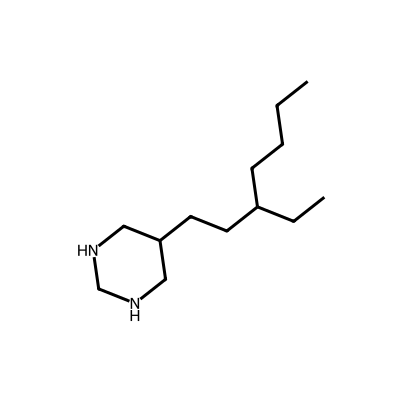 CCCCC(CC)CCC1CNCNC1